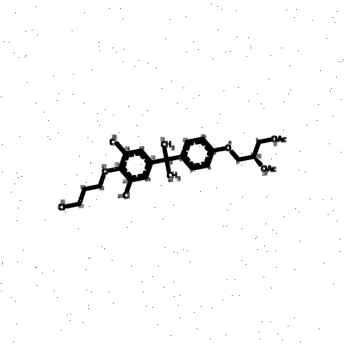 CC(=O)OC[C@H](COc1ccc(C(C)(C)c2cc(Cl)c(OCCCCl)c(Cl)c2)cc1)OC(C)=O